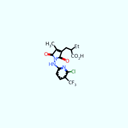 CCC(CC1=C(C)C(=O)N(Nc2ccc(C(F)(F)F)c(Cl)n2)C1=O)C(=O)O